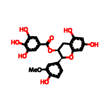 COc1cc([C@H]2Oc3cc(O)cc(O)c3C[C@@H]2OC(=O)c2cc(O)c(O)c(O)c2)ccc1O